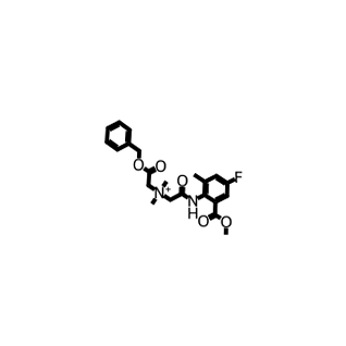 COC(=O)c1cc(F)cc(C)c1NC(=O)C[N+](C)(C)CC(=O)OCc1ccccc1